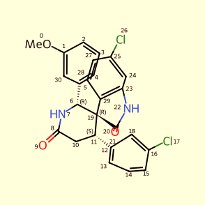 COc1cccc([C@H]2NC(=O)C[C@@H](c3cccc(Cl)c3)[C@]23C(=O)Nc2cc(Cl)ccc23)c1